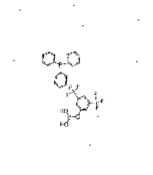 OB(O)Oc1cc(C(F)(F)F)cc(C(F)(F)F)c1.c1ccc(P(c2ccccc2)c2ccccc2)cc1